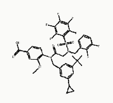 COc1cc(C(=O)O)ccc1N(Cc1cc(C2CC2)cc(C(C)(C)C)c1)C(=O)CN(Cc1cccc(F)c1F)S(=O)(=O)c1c(F)c(F)c(F)c(F)c1F